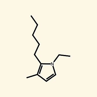 CCCCCc1c(C)ccn1CC